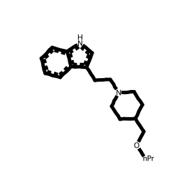 CCCOCC1CCN(CCc2c[nH]c3ccccc23)CC1